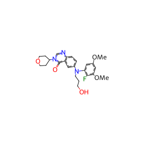 COc1cc(OC)c(F)c(N(CCCO)c2ccc3ncn(C4CCOCC4)c(=O)c3c2)c1